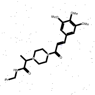 COc1cc(/C=C/C(=O)N2CCN(C(C)C(=O)NCC(C)C)CC2)cc(OC)c1OC